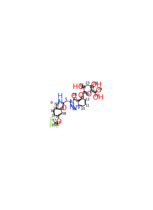 C[C@H](NC(=O)Cn1nnc2cccc(O[C@H]3O[C@H](C(=O)O)[C@@H](O)C[C@H]3O)c2c1=O)c1ccc(OC(F)(F)F)cc1